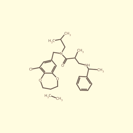 CC.CC(C)CN(Cc1cc(Cl)c2c(c1)OCCCO2)C(=O)C(C)CNC(C)c1ccccc1